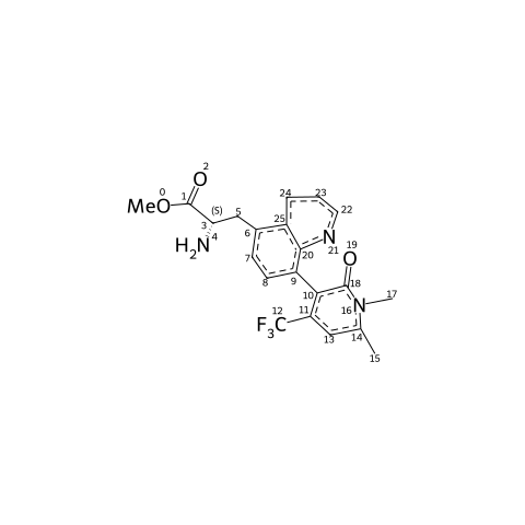 COC(=O)[C@@H](N)Cc1ccc(-c2c(C(F)(F)F)cc(C)n(C)c2=O)c2ncccc12